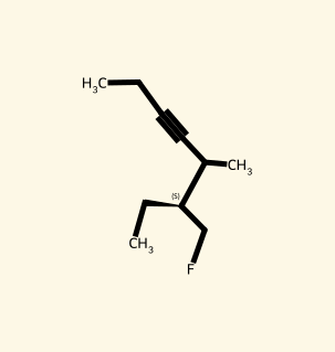 CCC#CC(C)[C@H](CC)CF